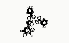 Cc1cn([C@@H]2CC(OC(=O)c3ccccc3)[C@H](COC(=O)c3ccccc3)O2)c(=O)n(C)c1=O